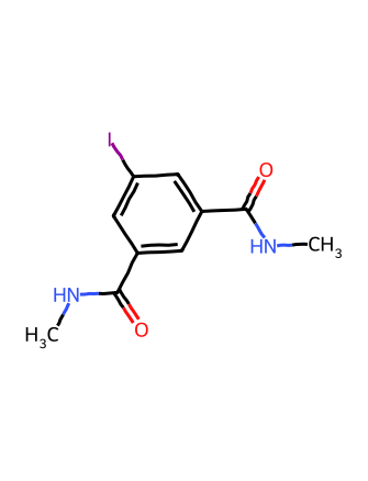 CNC(=O)c1cc(I)cc(C(=O)NC)c1